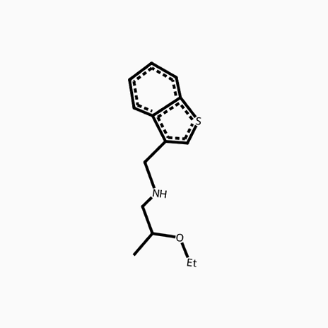 CCOC(C)CNCc1csc2ccccc12